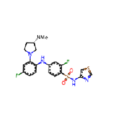 CN[C@H]1CCN(c2cc(F)ccc2Nc2ccc(S(=O)(=O)Nc3cscn3)c(F)c2)C1